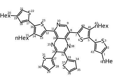 CCCCCCc1csc(-c2sc(-c3cnc(-c4cc(CCCCCC)c(-c5cc(CCCCCC)cs5)s4)c4nc(-c5cccs5)c(-c5cccs5)nc34)cc2CCCCCC)c1